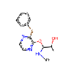 CC(C)NC(Oc1nccnc1Sc1ccccc1)C(C)O